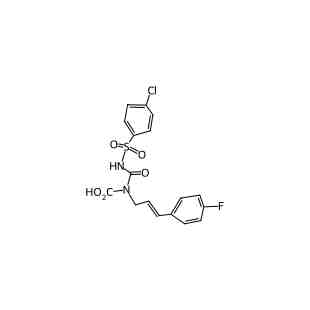 O=C(O)N(CC=Cc1ccc(F)cc1)C(=O)NS(=O)(=O)c1ccc(Cl)cc1